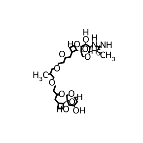 CSC(=N)N[C@H]1[C@H]2OC[C@](C3CCC3CC(=O)CCOCC(C)COCCC(=O)CC3CCC3[C@]34CO[C@H](C[C@@H](O)[C@H]3O)O4)(O2)[C@H](O)[C@@H]1O